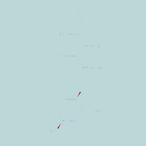 C[C@@H]1O[C@@H](OCC(O)C(O)C(O)C(O)C=O)[C@H](O)[C@H](O)[C@H]1O